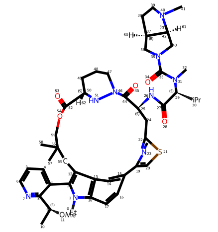 CCn1c(-c2cccnc2[C@H](C)OC)c2c3cc(ccc31)-c1csc(n1)C[C@H](NC(=O)[C@H](C(C)C)N(C)C(=O)N1C[C@H]3CCN(C)[C@H]3C1)C(=O)N1CCC[C@H](N1)C(=O)OCC(C)(C)C2